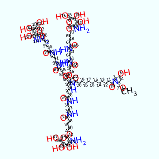 COC[C@@H]1C[C@@H](O)CN1C(=O)CCCCCCCCCCC(=O)NC(CCCCC(=O)NCCCNC(=O)CCCCOC1OC(CO)C(O)C(O)C1N)(COCCC(=O)NCCCNC(=O)CCCCOC1OC(CO)C(O)C(O)C1N)COCCC(=O)NCCCNC(=O)CCCCOC1OC(CO)C(O)C(O)C1N